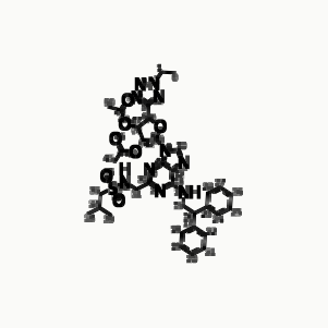 CCn1nnc([C@H]2O[C@@H](n3cnc4c(NCC(c5ccccc5)c5ccccc5)nc(CNS(=O)(=O)CC(C)C)nc43)[C@H](OC(C)=O)[C@H]2OC(C)=O)n1